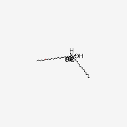 CCCCCCCCCCCCCCCCCCC(O)CC(=O)NC(CO)C(O)CCCCCCCCCCCCCCC